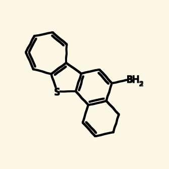 Bc1cc2c3c(sc2c2c1CCC=C2)C=C=CC=C3